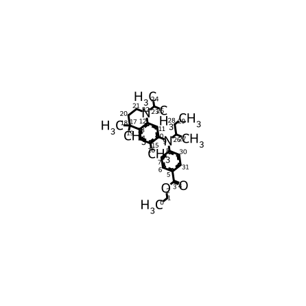 CCOC(=O)c1ccc(N(c2cc3c(cc2C)C(C)(C)CCN3C(C)C)C(C)CC)cc1